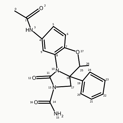 CC(=O)Nc1ccc2c(c1)N1C(=O)N(C(N)=O)CC1(c1ccccc1)C(C)O2